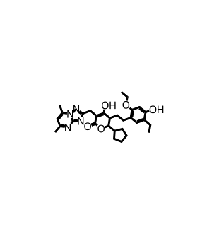 CCOc1cc(O)c(CC)cc1CCC1C(O)=C(Cc2nc3nc(C)cc(C)n3n2)C(=O)OC1C1CCCC1